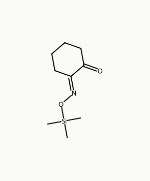 C[Si](C)(C)ON=C1CCCCC1=O